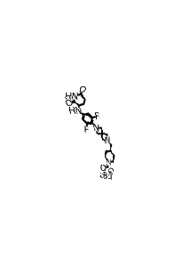 CC(C)(C)OC(=O)N1CCC(CN2CC3(C2)CN(c2c(F)cc(NC4CCC(=O)NC4=O)cc2F)C3)CC1